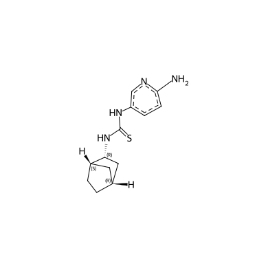 Nc1ccc(NC(=S)N[C@@H]2C[C@@H]3CC[C@H]2C3)cn1